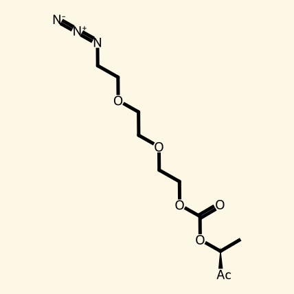 CC(=O)[C@H](C)OC(=O)OCCOCCOCCN=[N+]=[N-]